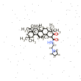 C=C(OC)[C@]12CCC(C)(C)CC1C1=CCC3[C@@]4(C)CC(C(=O)NCCN5CCCC5)C(=O)C(C)(C)C4CC[C@@]3(C)[C@]1(C)CC2